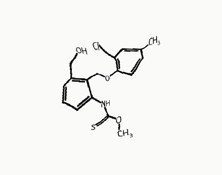 COC(=S)Nc1cccc(CO)c1COc1ccc(C)cc1Cl